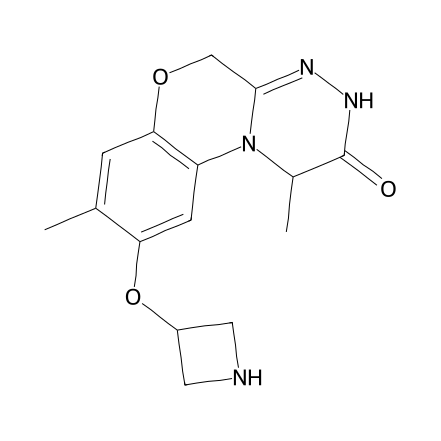 Cc1cc2c(cc1OC1CNC1)N1C(=NNC(=O)C1C)CO2